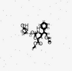 CCOC(=O)CCC(NC(=O)OC[C@@H]1CSC(=O)N1)C(COP=O)c1ccccc1